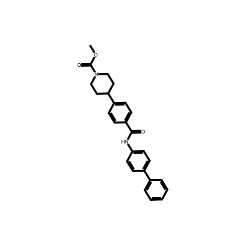 COC(=O)N1CCC(c2ccc(C(=O)Nc3ccc(-c4ccccc4)cc3)cc2)CC1